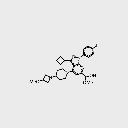 COC1CN(C2CCN(c3cc(C(O)OC)nc4c3c(C3CCC3)nn4-c3ccc(F)cc3)CC2)C1